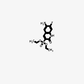 CCOP(=O)(OCC)c1cc2cc(N)c(F)cc2[nH]c1=O